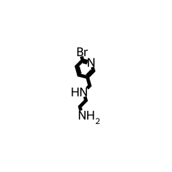 NCCNCc1ccc(Br)nc1